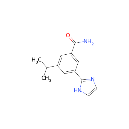 CC(C)c1cc(C(N)=O)cc(-c2ncc[nH]2)c1